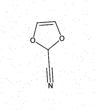 N#CC1OC=CO1